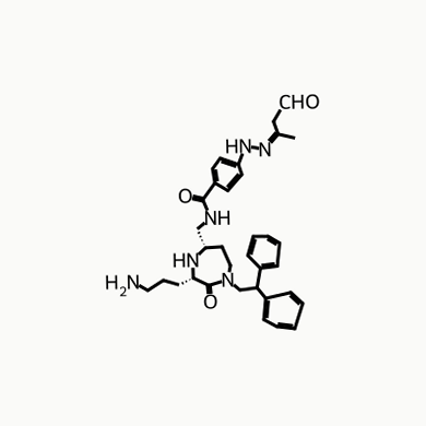 C/C(CC=O)=N/Nc1ccc(C(=O)NC[C@@H]2CCN(CC(c3ccccc3)c3ccccc3)C(=O)[C@H](CCCN)N2)cc1